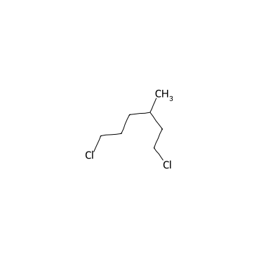 CC(CCCl)CCCCl